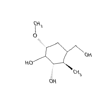 CO[C@@H]1CC(CO)[C@@H](C)[C@H](O)C1O